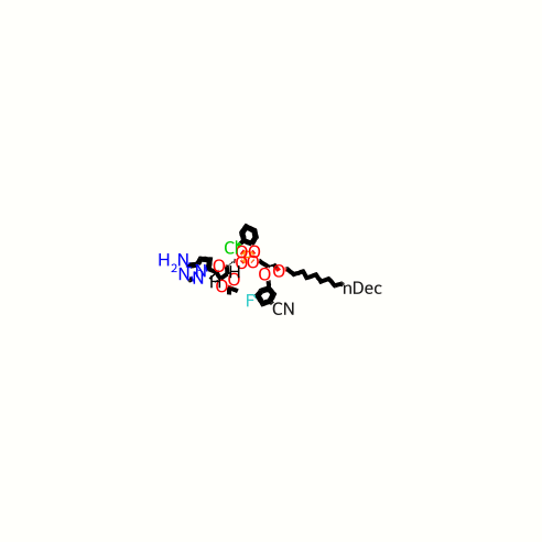 CCCCCCCCCCCCCCCCCCCOC[C@H](COP(=O)(OC[C@H]1O[C@@](C)(c2ccc3c(N)ncnn23)[C@@H]2OC(C)(C)O[C@@H]21)Oc1ccccc1Cl)OCc1cc(F)cc(C#N)c1